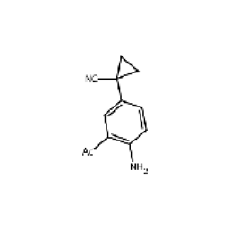 CC(=O)c1cc(C2(C#N)CC2)ccc1N